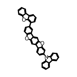 c1ccc2c(c1)oc1c(-c3ccc4oc5cc6c(cc5c4c3)oc3cc(-n4c5ccccc5c5ccccc54)ccc36)cccc12